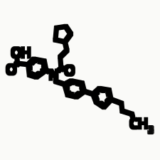 CCCCc1ccc(-c2ccc(CN(C(=O)CCC3CCCC3)c3ccc(C(=O)O)cc3)cc2)cc1